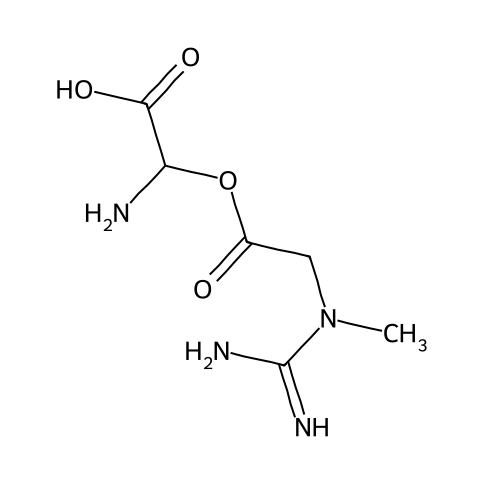 CN(CC(=O)OC(N)C(=O)O)C(=N)N